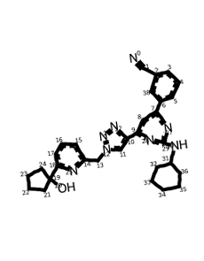 N#Cc1cccc(-c2cc(-c3cn(Cc4cccc(C5(O)CCCC5)n4)nn3)nc(NC3CCCCC3)n2)c1